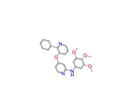 COc1cc(Nc2cc(Oc3cccnc3-c3ccccc3)ccn2)cc(OC)c1OC